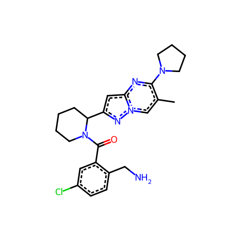 Cc1cn2nc(C3CCCCN3C(=O)c3cc(Cl)ccc3CN)cc2nc1N1CCCC1